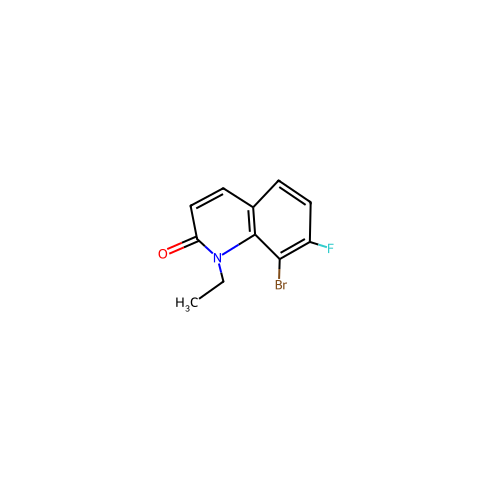 CCn1c(=O)ccc2ccc(F)c(Br)c21